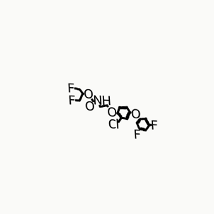 O=C(NCCOc1ccc(Oc2cc(F)cc(F)c2)cc1Cl)OC(CF)CF